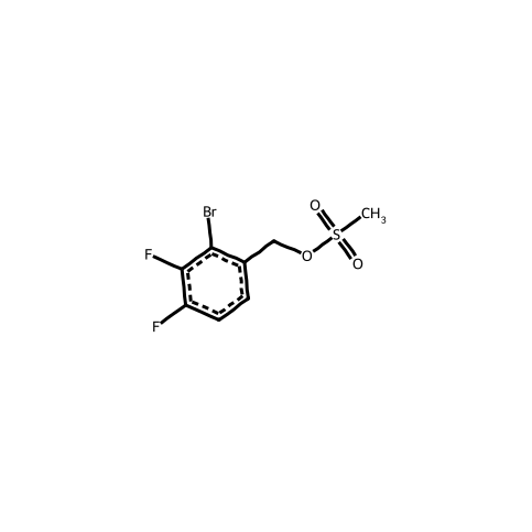 CS(=O)(=O)OCc1ccc(F)c(F)c1Br